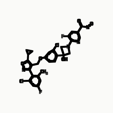 Cc1cc(F)cc(Cl)c1-c1noc(C2CC2)c1COc1ccc(C2(O)CN(c3ncc(C(=O)N=O)cc3F)C2)c(Cl)c1